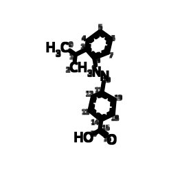 CC(C)c1ccccc1N=Nc1ccc(C(=O)O)cc1